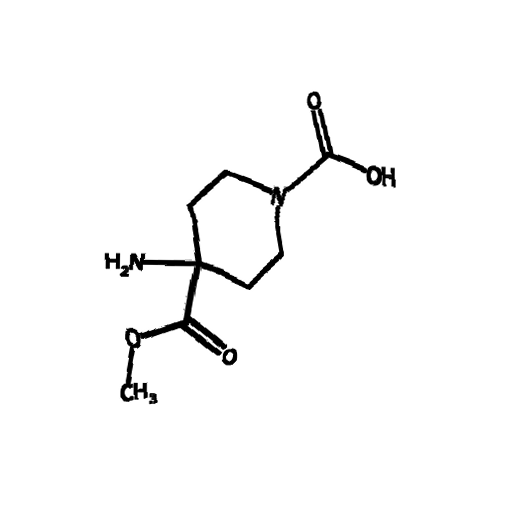 COC(=O)C1(N)CCN(C(=O)O)CC1